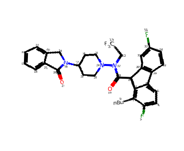 CCCCc1c(F)ccc2c1C(C(=O)N(CC(F)(F)F)N1CCC(N3Cc4ccccc4C3=O)CC1)c1cc(F)ccc1-2